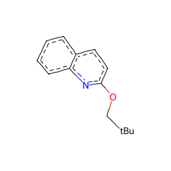 CC(C)(C)COc1ccc2ccccc2n1